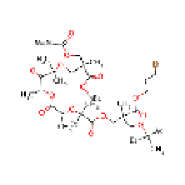 CCCCOC(=O)C(C)(COC(=O)NC)COC(C)(C)C(=O)C(C)OC(=O)C(C)O[C@@](C)(CC)C(=O)OCC(C)(COC(C)(CC)C(C)=O)C(=O)OCCCBr